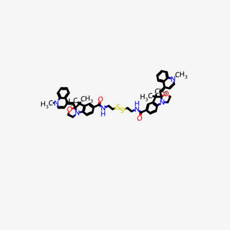 CN1C=C/C(=C\C23OCCN2c2ccc(C(=O)NCCSSCCNC(=O)c4ccc5c(c4)C(C)(C)C4(/C=C6\C=CN(C)c7ccccc76)OCCN54)cc2C3(C)C)c2ccccc21